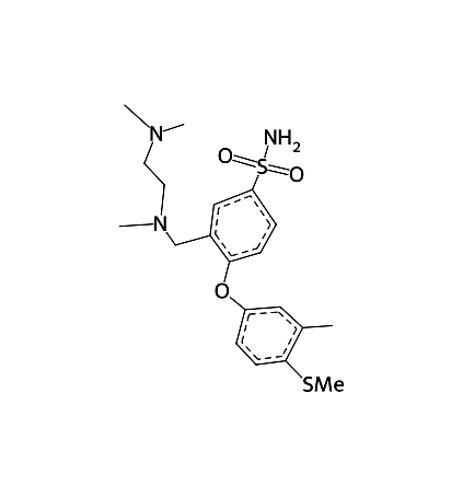 CSc1ccc(Oc2ccc(S(N)(=O)=O)cc2CN(C)CCN(C)C)cc1C